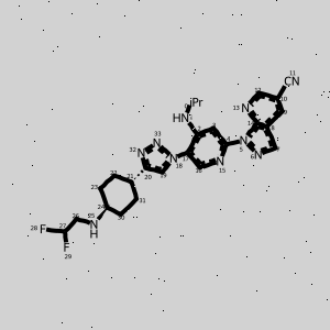 CC(C)Nc1cc(-n2ncc3cc(C#N)cnc32)ncc1-n1cc([C@H]2CC[C@H](NCC(F)F)CC2)nn1